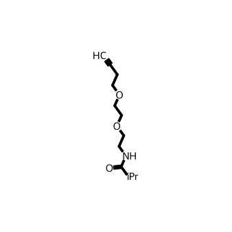 C#CCCOCCOCCNC(=O)C(C)C